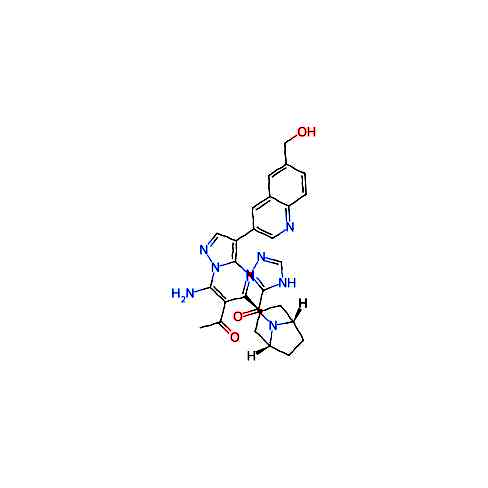 CC(=O)c1c([C@@H]2C[C@H]3CC[C@@H](C2)N3C(=O)c2nnc[nH]2)nc2c(-c3cnc4ccc(CO)cc4c3)cnn2c1N